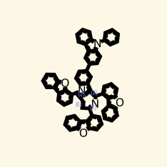 C1=c2/c(c3cc(-c4ccc5c(c4)c4ccccc4n5-c4ccccc4)ccc3n2-c2cccc3c2oc2ccccc23)=C(c2cccc3oc4ccccc4c23)\N=C(c2cccc3oc4ccccc4c23)/C=C/1